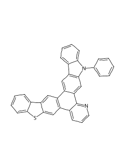 c1ccc(-n2c3ccccc3c3cc4c5cc6c(cc5c5cccnc5c4cc32)sc2ccccc26)cc1